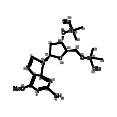 COc1nc(N)nc2c1ncn2[C@H]1C[C@H](O[Si](C)(C)C(C)(C)C)[C@@H](CO[Si](C)(C)C(C)(C)C)O1